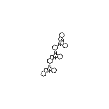 c1cc(-n2c3ccccc3n3c4ccccc4cc23)cc(-n2c3ccccc3n3c4cc(-n5c6ccccc6n6c7ccccc7cc56)ccc4cc23)c1